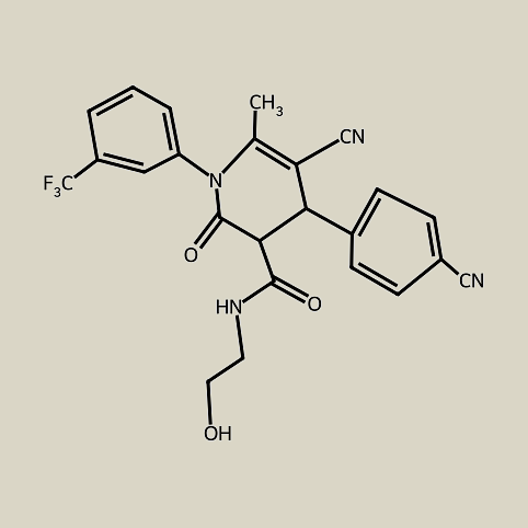 CC1=C(C#N)C(c2ccc(C#N)cc2)C(C(=O)NCCO)C(=O)N1c1cccc(C(F)(F)F)c1